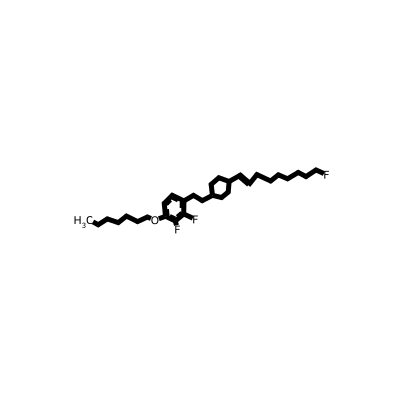 CCCCCCCOc1ccc(CCC2CCC(/C=C/CCCCCCCF)CC2)c(F)c1F